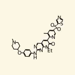 CCn1c(=O)c(-c2ncc(S(=O)(=O)c3cncs3)cc2C)cc2cnc(Nc3ccc(OC4CCN(C)CC4)cc3)nc21